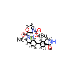 CC(C)(C)OC(=O)N1CCCO[C@H](C(=O)N[C@H](C#N)Cc2ccc(-c3ccc4c(c3)CCNC4=O)cc2F)C1